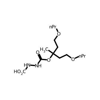 CCCOCCC(C)(CCOCCC)OC(=O)NNC(=O)O